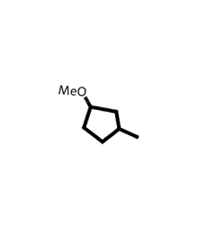 [CH2-][OH+]C1CCC(C)C1